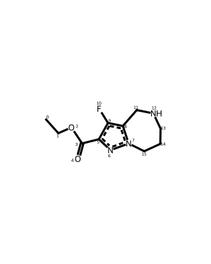 CCOC(=O)c1nn2c(c1F)CNCCC2